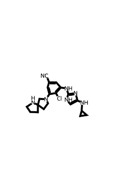 N#Cc1cc(Nc2nc(NC3CC3)c[nH]2)c(Cl)c(N2CCC3(CCCN3)C2)c1